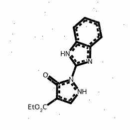 CCOC(=O)c1c[nH]n(-c2nc3ccccc3[nH]2)c1=O